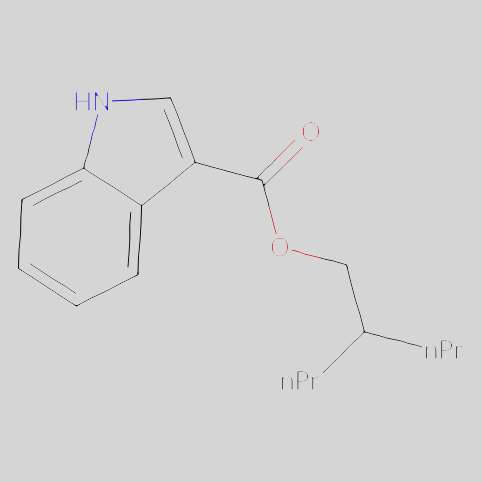 CCCC(CCC)COC(=O)c1c[nH]c2ccccc12